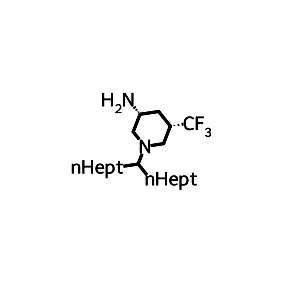 CCCCCCCC(CCCCCCC)N1C[C@H](N)C[C@H](C(F)(F)F)C1